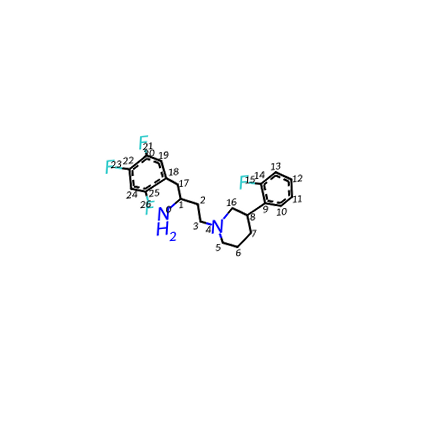 NC(CCN1CCCC(c2ccccc2F)C1)Cc1cc(F)c(F)cc1F